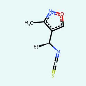 CC[C@H](N=C=S)c1conc1C